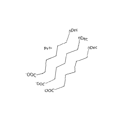 CCCCCCCCCCCCCCCC(=O)[O-].CCCCCCCCCCCCCCCC(=O)[O-].CCCCCCCCCCCCCCCC(=O)[O-].[Pr+3]